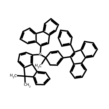 CC1(C)c2ccccc2-c2c(N(c3cc4ccccc4c4ccccc34)C3(C)C=CC(c4c(-c5ccccc5)c5ccccc5c5ccccc45)=CC3)cccc21